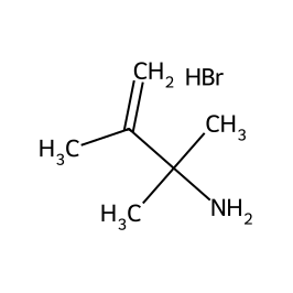 Br.C=C(C)C(C)(C)N